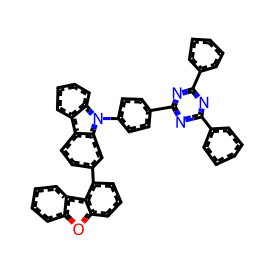 c1ccc(-c2nc(-c3ccccc3)nc(-c3ccc(-n4c5ccccc5c5ccc(-c6cccc7oc8ccccc8c67)cc54)cc3)n2)cc1